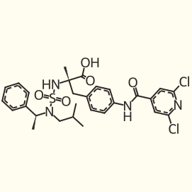 CC(C)CN([C@@H](C)c1ccccc1)S(=O)(=O)N[C@@](C)(Cc1ccc(NC(=O)c2cc(Cl)nc(Cl)c2)cc1)C(=O)O